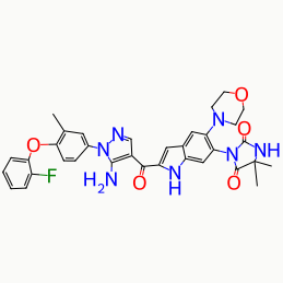 Cc1cc(-n2ncc(C(=O)c3cc4cc(N5CCOCC5)c(N5C(=O)NC(C)(C)C5=O)cc4[nH]3)c2N)ccc1Oc1ccccc1F